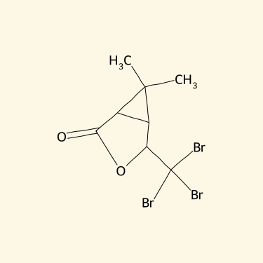 CC1(C)C2C(=O)OC(C(Br)(Br)Br)C21